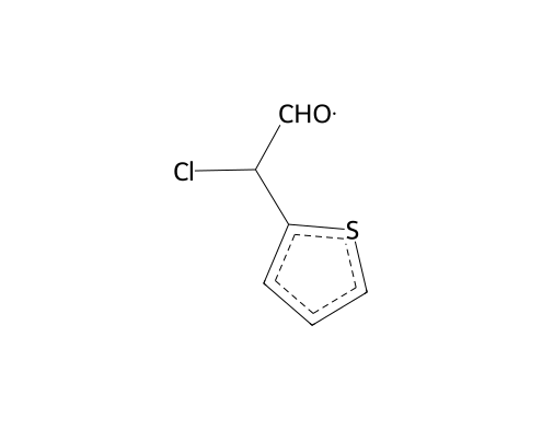 O=[C]C(Cl)c1cccs1